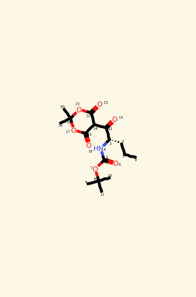 CCC[C@H](NC(=O)OC(C)(C)C)C(=O)C1C(=O)OC(C)(C)OC1=O